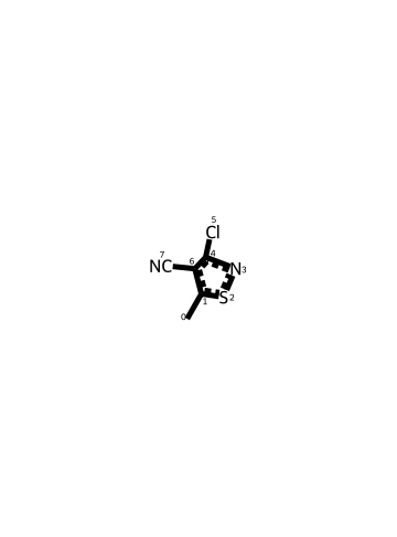 Cc1snc(Cl)c1C#N